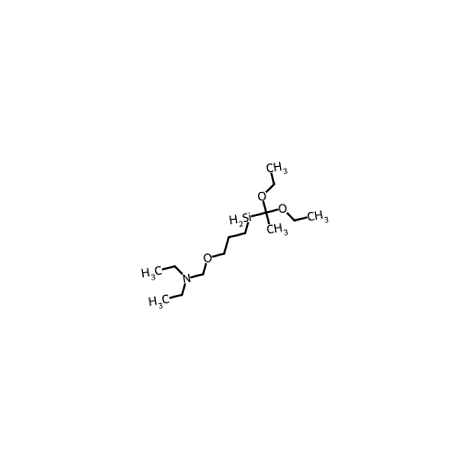 CCOC(C)(OCC)[SiH2]CCCOCN(CC)CC